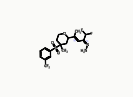 C/C(=C\C(=N/N)C(F)F)C1CC(C)(S(=O)(=O)c2cccc(C(F)(F)F)c2)CCO1